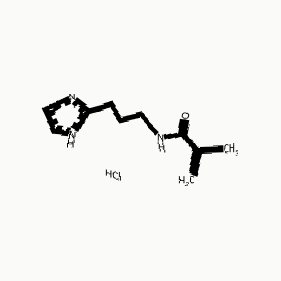 C=C(C)C(=O)NCCCc1ncc[nH]1.Cl